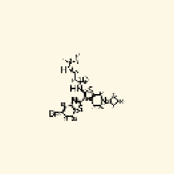 CCC(C)NCCC(=O)Nc1sc2c(c1-c1nc3cc(Br)ccc3s1)CCN(C1CCC1)C2